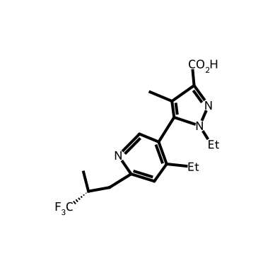 CCc1cc(C[C@@H](C)C(F)(F)F)ncc1-c1c(C)c(C(=O)O)nn1CC